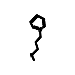 CSCCC[n+]1ccccc1